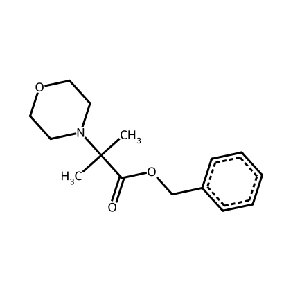 CC(C)(C(=O)OCc1ccccc1)N1CCOCC1